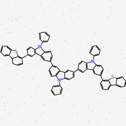 C1=CC(c2ccc3c(c2)c2cc(-c4ccc5c(c4)c4cc(-c6ccc7c(c6)c6cc(-c8cccc9c8sc8ccccc89)ccc6n7-c6ccccc6)ccc4n5-c4ccccc4)ccc2n3-c2ccccc2)=C2Sc3ccccc3C2C1